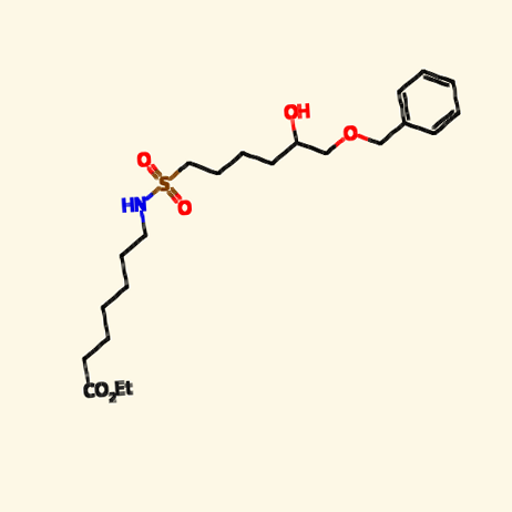 CCOC(=O)CCCCCCNS(=O)(=O)CCCCC(O)COCc1ccccc1